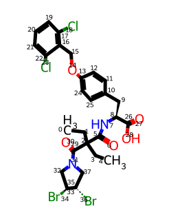 CCC(CC)(C(=O)N[C@@H](Cc1ccc(OCc2c(Cl)cccc2Cl)cc1)C(=O)O)C(=O)N1C[C@H](Br)[C@@H](Br)C1